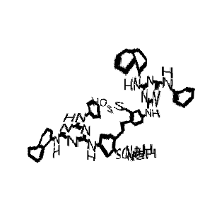 O=S(=O)(O)c1cc(Nc2nc(Nc3ccccc3)nc(Nc3cccc4ccccc34)n2)ccc1C=Cc1ccc(Nc2nc(Nc3ccccc3)nc(Nc3cccc4ccccc34)n2)cc1S(=O)(=O)O.[NaH].[NaH]